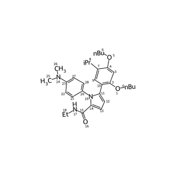 CCCCOc1cc(OCCCC)c(C(C)C)cc1-c1ccc(C(=O)NCC)n1-c1ccc(N(C)C)cc1